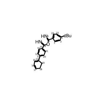 CC(C)(C)c1ccc(C(=N)OC(=N)c2ccc(C3=CC=CCC3)cc2)cc1